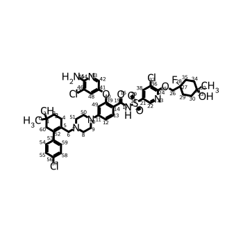 CC1(C)CCC(CN2CCN(c3ccc(C(=O)NS(=O)(=O)c4cnc(OC[C@]5(F)CC[C@@](C)(O)CC5)c(Cl)c4)c(Oc4cnc(N)c(Cl)c4)c3)CC2)=C(c2ccc(Cl)cc2)C1